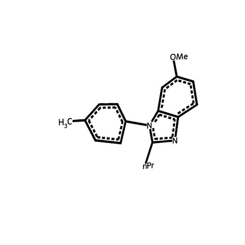 CCCc1nc2ccc(OC)cc2n1-c1ccc(C)cc1